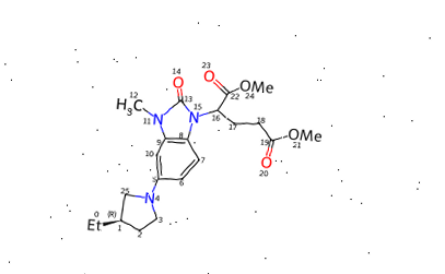 CC[C@@H]1CCN(c2ccc3c(c2)n(C)c(=O)n3C(CCC(=O)OC)C(=O)OC)C1